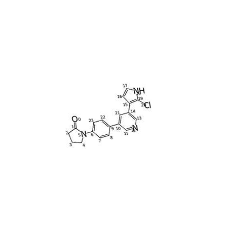 O=C1CCCN1c1ccc(-c2cncc(-c3cc[nH]c3Cl)c2)cc1